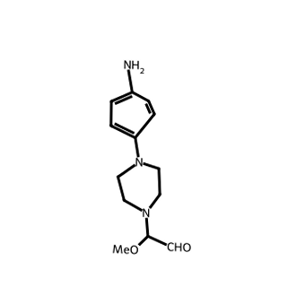 COC(C=O)N1CCN(c2ccc(N)cc2)CC1